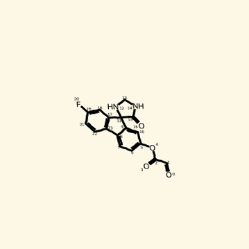 O=CC(=O)Oc1ccc2c(c1)C1(NCNC1=O)c1cc(F)ccc1-2